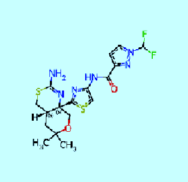 CC1(C)C[C@@H]2CSC(N)=N[C@]2(c2nc(NC(=O)c3ccn(C(F)F)n3)cs2)CO1